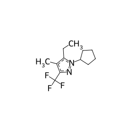 CCc1c(C)c(C(F)(F)F)nn1C1CCCC1